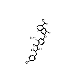 Cc1cc(Oc2cc3c(cc2Cl)C(C(=O)[O-])CCO3)ccc1C(=O)NC(Cl)Cc1ccc(Cl)cc1.[Na+]